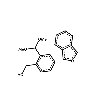 COC(OC)c1ccccc1CO.c1ccc2cocc2c1